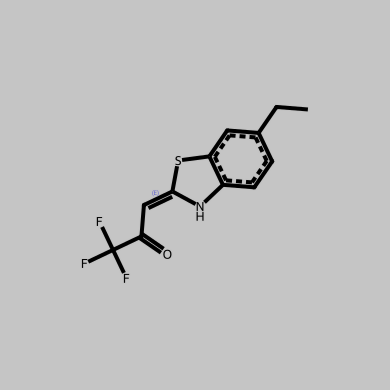 CCc1ccc2c(c1)S/C(=C/C(=O)C(F)(F)F)N2